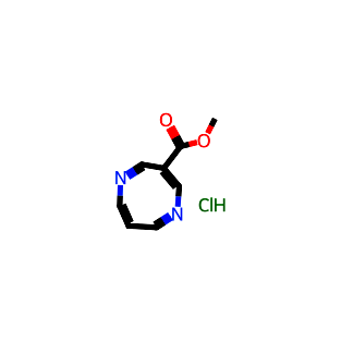 COC(=O)C1=CN=CC=CN=C1.Cl